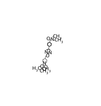 CCN(CC)C(=O)c1ccc(-c2cnc(OCC3CCN(C(=O)OC(C)(C)C)CC3)nc2)cc1